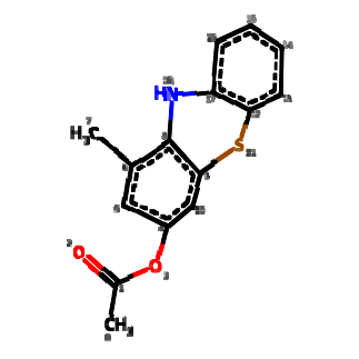 CC(=O)Oc1cc(C)c2c(c1)Sc1ccccc1N2